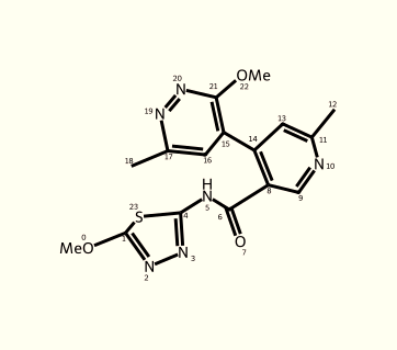 COc1nnc(NC(=O)c2cnc(C)cc2-c2cc(C)nnc2OC)s1